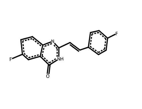 O=c1[nH]c(C=Cc2ccc(F)cc2)nc2ccc(F)cc12